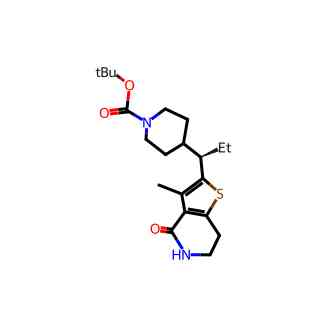 CC[C@@H](c1sc2c(c1C)C(=O)NCC2)C1CCN(C(=O)OC(C)(C)C)CC1